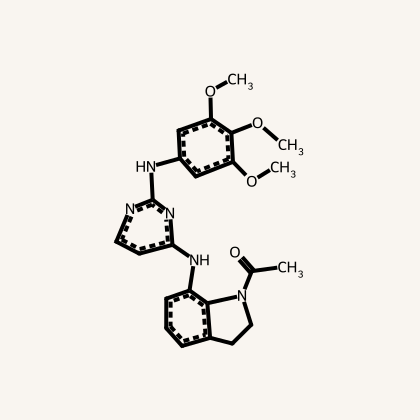 COc1cc(Nc2nccc(Nc3cccc4c3N(C(C)=O)CC4)n2)cc(OC)c1OC